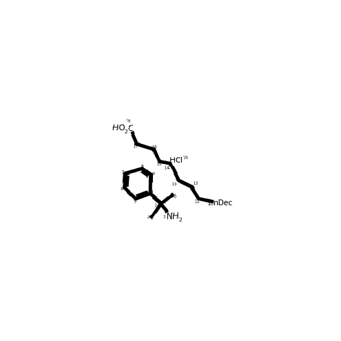 CC(C)(N)c1ccccc1.CCCCCCCCCCCCCCCCCC(=O)O.Cl